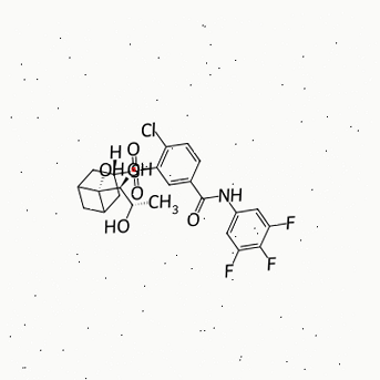 C[C@H](O)[C@H](O)[C@]1(O)C2CC1C[C@@H](S(=O)(=O)c1cc(C(=O)Nc3cc(F)c(F)c(F)c3)ccc1Cl)C2